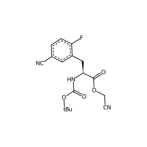 CC(C)(C)OC(=O)N[C@@H](Cc1cc(C#N)ccc1F)C(=O)OCC#N